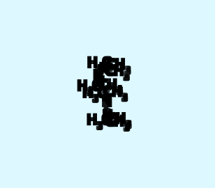 CC(C)[C@@H](C)N1CC[C@H](CN2CCN(C(C)(C)CCC(C)(C)C3CCN(CCC4CCN(C(C)(C)C)CC4)CC3)CC2)C1